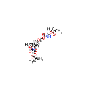 C=C(C)C(=O)OCCNC(=O)OCCOc1ccc(C2(O)N(CCOC(=O)C(=C)C)C(=O)OC2(C)C)cc1